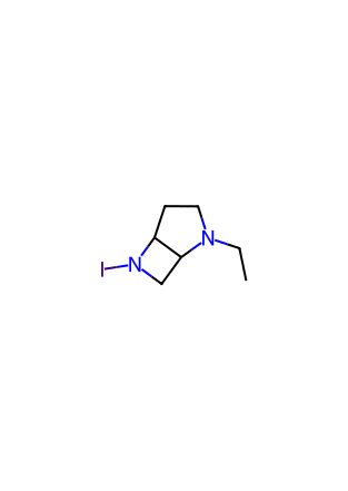 CCN1CCC2C1CN2I